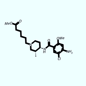 COC(=O)CCCCCN1CC[C@H](NC(=O)c2cc(Cl)c(N)cc2OC)[C@H](C)C1